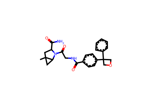 CC12CC(C(N)=O)N(C(=O)CNC(=O)c3ccc(C4(c5ccccc5)COC4)cc3)C1C2